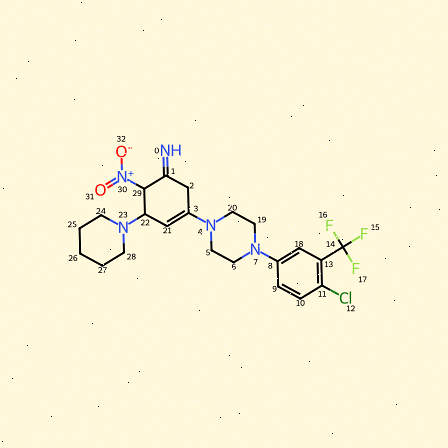 N=C1CC(N2CCN(c3ccc(Cl)c(C(F)(F)F)c3)CC2)=CC(N2CCCCC2)C1[N+](=O)[O-]